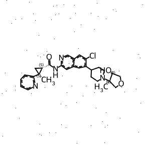 C[C@]1(c2ccccn2)C[C@@H]1C(=O)Nc1cc2cc(C3CCN([C@]4(C)COC[C@@H]4O)CC3)c(Cl)cc2cn1